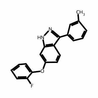 Cc1cccc(-c2n[nH]c3cc(Oc4ccccc4F)ccc23)c1